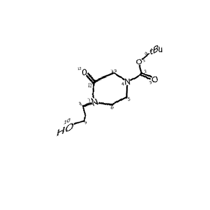 CC(C)(C)OC(=O)N1CCN(CCO)C(=O)C1